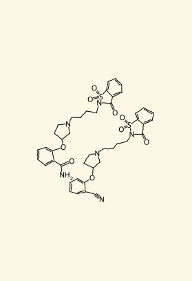 N#Cc1ccccc1OC1CCN(CCCCN2C(=O)c3ccccc3S2(=O)=O)C1.NC(=O)c1ccccc1OC1CCN(CCCCN2C(=O)c3ccccc3S2(=O)=O)C1